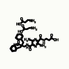 NCCC(=O)O.NCCC(=O)O.Nc1nc(C(=O)NCC(Cc2ccccc2)(Cc2ccccc2)C(=O)O)c(N)nc1C(=O)NCCC(=O)O